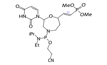 CCN(C(C)C)P(OCCC#N)N1CCC(/C=C/P(=O)(OC)OC)OC(n2ccc(=O)[nH]c2=O)C1